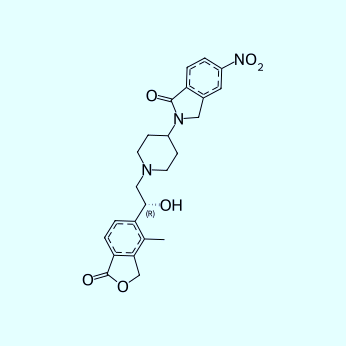 Cc1c([C@@H](O)CN2CCC(N3Cc4cc([N+](=O)[O-])ccc4C3=O)CC2)ccc2c1COC2=O